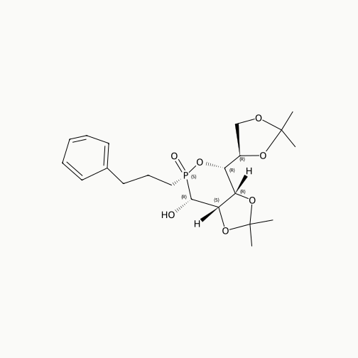 CC1(C)O[C@H]2[C@@H]([C@H]3COC(C)(C)O3)O[P@@](=O)(CCCc3ccccc3)[C@@H](O)[C@H]2O1